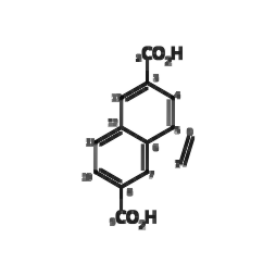 C=C.O=C(O)c1ccc2cc(C(=O)O)ccc2c1